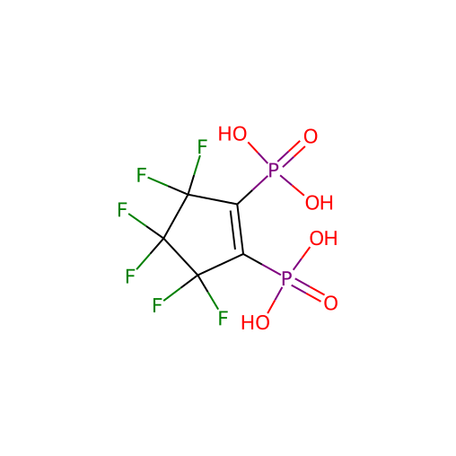 O=P(O)(O)C1=C(P(=O)(O)O)C(F)(F)C(F)(F)C1(F)F